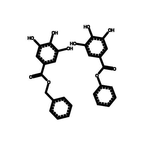 O=C(OCc1ccccc1)c1cc(O)c(O)c(O)c1.O=C(Oc1ccccc1)c1cc(O)c(O)c(O)c1